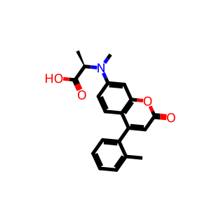 Cc1ccccc1-c1cc(=O)oc2cc(N(C)[C@H](C)C(=O)O)ccc12